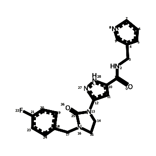 O=C(NCc1cccnc1)c1cc(N2CCN(Cc3ccc(F)cc3)C2=O)n[nH]1